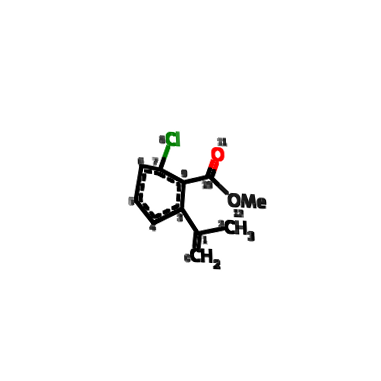 C=C(C)c1cccc(Cl)c1C(=O)OC